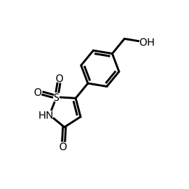 O=C1C=C(c2ccc(CO)cc2)S(=O)(=O)N1